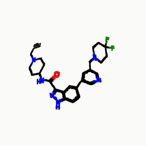 CC(C)(C)CN1CCC(NC(=O)c2n[nH]c3ccc(-c4cncc(CN5CCC(F)(F)CC5)c4)cc23)CC1